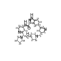 CC1CCN(Cc2cncc(-c3ccc4[nH]nc(C(=O)Nc5ccnc(CN6CCCC6)c5)c4c3)c2)CC1